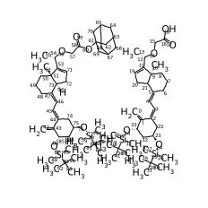 C=C1C(=CC=C2CCC[C@]3(C)C([C@H](C)OCC(=O)O)=CCC23)C[C@@H](O[Si](C)(C)C(C)(C)C)C[C@@H]1O[Si](C)(C)C(C)(C)C.C=C1C(=CC=C2CCC[C@]3(C)C([C@H](C)OCC(=O)OC45CC6CC(CC(C6)C4)C5)=CC[C@@H]23)C[C@@H](O[Si](C)(C)C(C)(C)C)C[C@@H]1O[Si](C)(C)C(C)(C)C